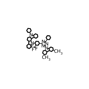 Cc1ccc2c(c1)c1cc(C)ccc1n2-c1nc(-c2ccccc2)nc(-c2ccc(-n3c4ccccc4c4ccc5c(c6ccccc6n5-c5ccccc5)c43)c(C(F)(F)F)c2)n1